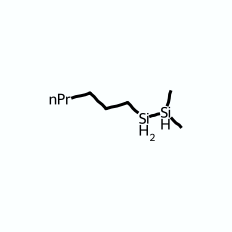 CCCCCC[SiH2][SiH](C)C